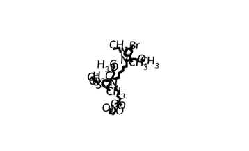 CCCC[n+]1cc(Br)cc2c1N=C(/C=C/C=C/C=C1/N(CCCCCC(=O)ON3C(=O)CCC3=O)c3c(C)cc(SOO[O-])cc3C1(C)CCOC)C2(C)CCOC